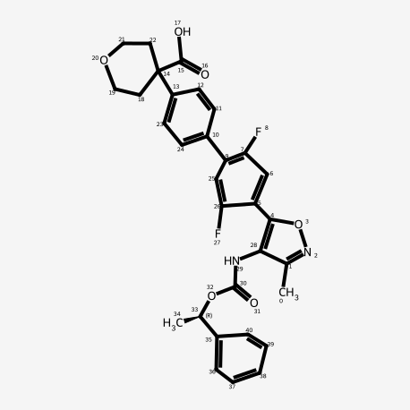 Cc1noc(-c2cc(F)c(-c3ccc(C4(C(=O)O)CCOCC4)cc3)cc2F)c1NC(=O)O[C@H](C)c1ccccc1